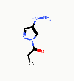 N#CCC(=O)n1cc(NN)cn1